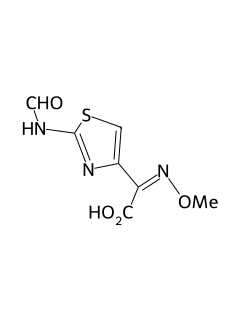 CON=C(C(=O)O)c1csc(NC=O)n1